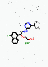 Br.CC(C)c1cc(NCC(OCCO)c2ccc(F)c3ccccc23)ncn1